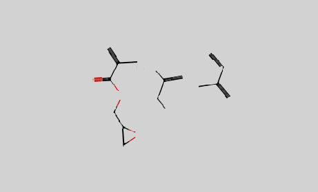 C=C(C)C(=O)OCC1CO1.C=C(CC(=O)O)C(=O)O.C=CC(=C)C